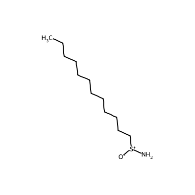 CCCCCCCCCCCC[S+](N)[O-]